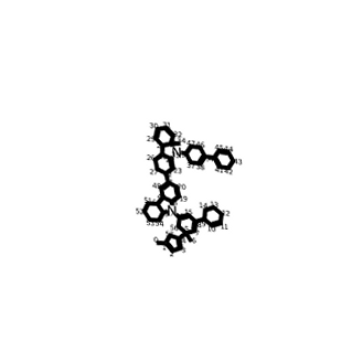 CC1=CC=C(C2(C)C=C(C3C=CCCC3)C=C(N3C4C=CC(C5C=C6C(CC5)C5C=CC=CC5(C)N6C5CC=C(C6=CCCC=C6)CC5)=CC4C4CCCCC43)C2)C1